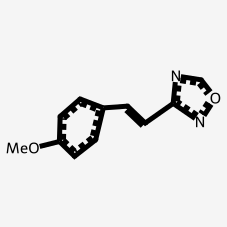 COc1ccc(/C=C/c2ncon2)cc1